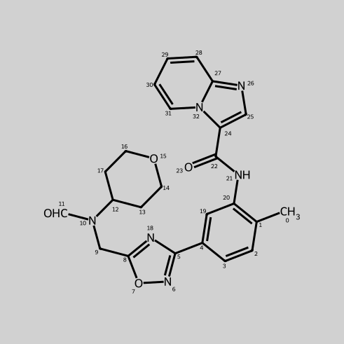 Cc1ccc(-c2noc(CN(C=O)C3CCOCC3)n2)cc1NC(=O)c1cnc2ccccn12